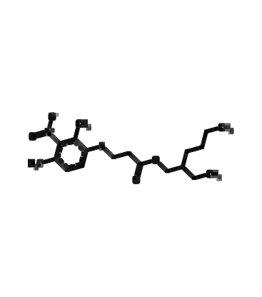 CCCCC(CC)COC(=O)CCSc1ccc(C)c([N+](=O)[O-])c1C